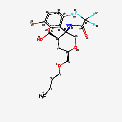 CCCCOC[C@H]1C[C@@H](C(=O)O)[C@](NC(=O)C(F)(F)F)(c2cc(Br)ccc2F)CO1